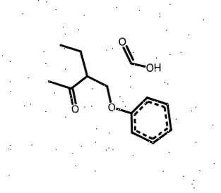 CCC(COc1ccccc1)C(C)=O.O=CO